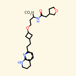 O=C(CC1CCOC1)NC(CCOC1CC(CCc2ccc3c(n2)NCCC3)C1)C(=O)O